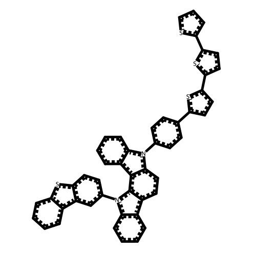 c1csc(-c2ccc(-c3ccc(-c4ccc(-n5c6ccccc6c6c5ccc5c7ccccc7n(-c7ccc8sc9ccccc9c8c7)c56)cc4)s3)s2)c1